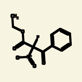 CCOC(=O)C(F)(C(=O)c1ccccc1)[N+](=O)[O-]